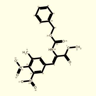 COC(=O)/C(=C/c1cc(C)c([N+](=O)[O-])c([N+](=O)[O-])c1)NC(=O)OCc1ccccc1